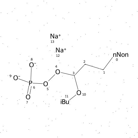 CCCCCCCCCCCC(OOP(=O)([O-])[O-])OC(C)CC.[Na+].[Na+]